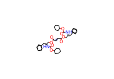 O=C(/C=C/C(=O)OC[C@H](Cc1ccccc1)NC(=O)OC1CCCCC1)OC[C@H](Cc1ccccc1)NC(=O)OC1CCCCC1